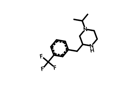 CC(C)N1CCNC(Cc2cccc(C(F)(F)F)c2)C1